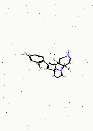 CCN1CC[C@H]2[C@@H](C1)c1cc(-c3ccc(OC)cc3C(F)(F)F)cc3c1N2CCC3